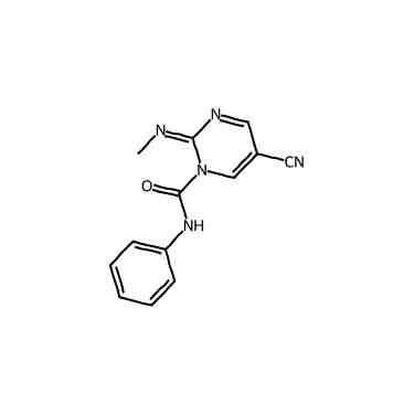 C/N=c1/ncc(C#N)cn1C(=O)Nc1ccccc1